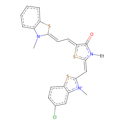 CCn1c(=O)/c(=C/C=C2\Sc3ccccc3N2C)s/c1=C\c1sc2ccc(Cl)cc2[n+]1C